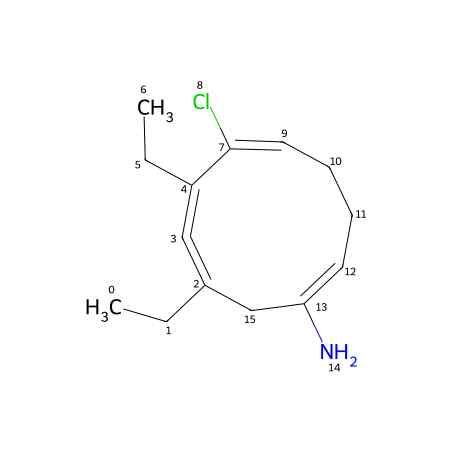 CCC1=C=C(CC)C(Cl)=CCC/C=C(/N)C1